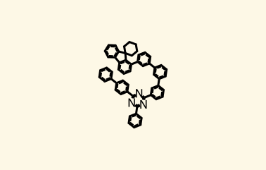 c1ccc(-c2ccc(-c3nc(-c4ccccc4)nc(-c4cccc(-c5cccc(-c6cccc(-c7cccc8c7C7(CCCCC7)c7ccccc7-8)c6)c5)c4)n3)cc2)cc1